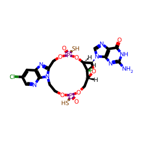 Nc1nc2c(ncn2[C@@H]2O[C@@H]3COP(=O)(S)OCCn4c(nc5cc(Cl)cnc54)COP(=O)(S)O[C@@H]2[C@@H]3F)c(=O)[nH]1